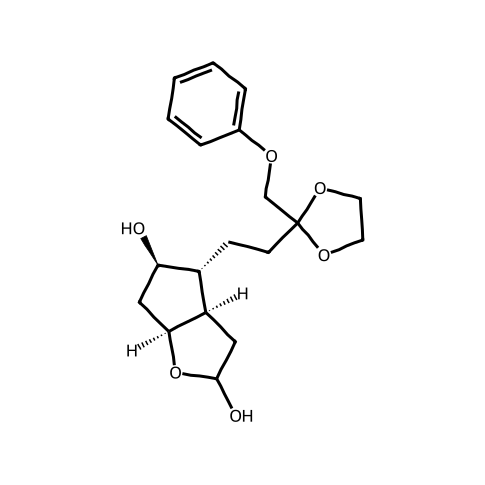 OC1C[C@@H]2[C@@H](CCC3(COc4ccccc4)OCCO3)[C@H](O)C[C@@H]2O1